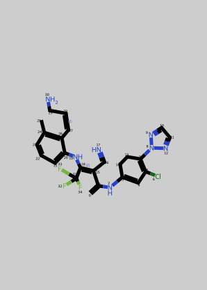 C=C(NC1=CC(Cl)=C(n2nccn2)CC1)/C(C=N)=C(/Nc1cccc(C)c1/C=C\CN)C(F)(F)F